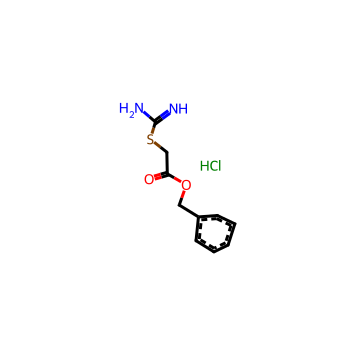 Cl.N=C(N)SCC(=O)OCc1ccccc1